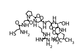 CC(C)C[C@H](NC(=O)[C@H](CO)NC(=O)CNC(=O)[C@H](CCCNC(=N)N)NC(=O)[C@@H]1CCCN1C(=O)CNC(=O)[C@@H](N)CS)C(=O)O